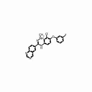 CNN=C(Nc1ccc(Oc2cccc(F)c2)c(Cl)c1)c1ccc2ncncc2c1